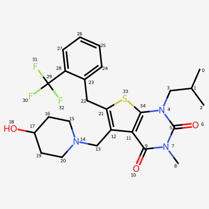 CC(C)Cn1c(=O)n(C)c(=O)c2c(CN3CCC(O)CC3)c(Cc3ccccc3C(F)(F)F)sc21